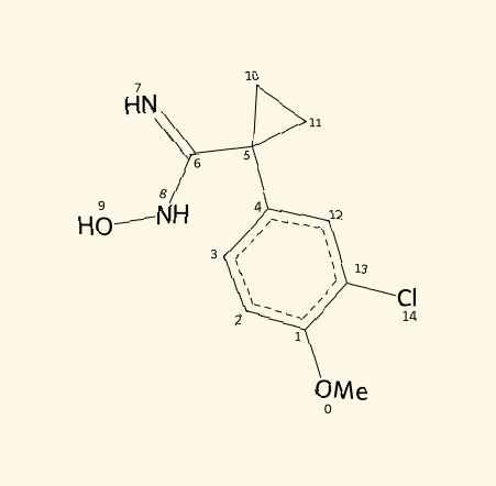 COc1ccc(C2(C(=N)NO)CC2)cc1Cl